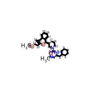 CNC[C@H](CC1CCCCC1)NC(=O)N1CCC[C@@H]([C@@H](OCCCOC)c2ccccc2C2CC2)C1